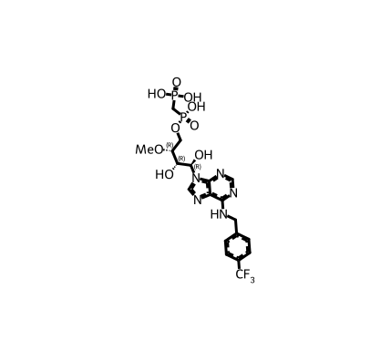 CO[C@H](COP(=O)(O)CP(=O)(O)O)[C@@H](O)[C@@H](O)n1cnc2c(NCc3ccc(C(F)(F)F)cc3)ncnc21